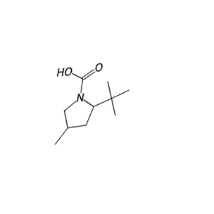 CC1CC(C(C)(C)C)N(C(=O)O)C1